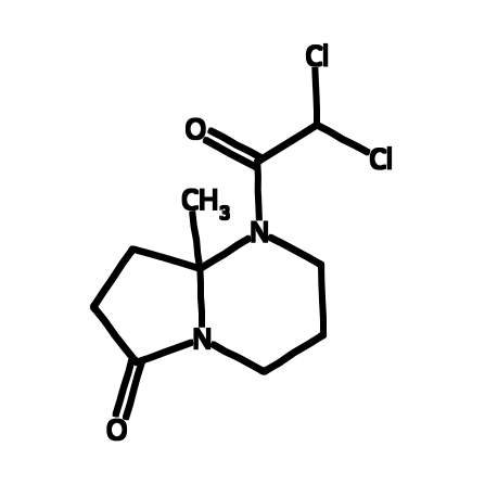 CC12CCC(=O)N1CCCN2C(=O)C(Cl)Cl